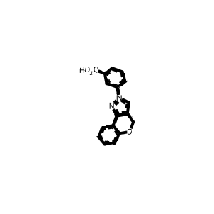 O=C(O)c1cccc(-n2cc3c(n2)-c2ccccc2OC3)c1